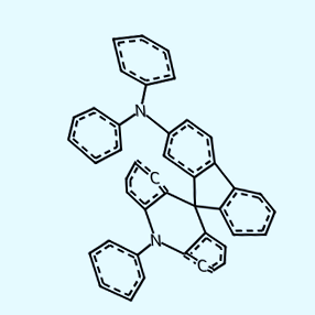 c1ccc(N(c2ccccc2)c2ccc3c(c2)C2(c4ccccc4-3)c3ccccc3N(c3ccccc3)c3ccccc32)cc1